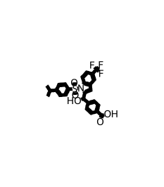 CC(C)c1ccc(S(=O)(=O)n2c(C(O)c3ccc(C(=O)O)cc3)cc3cc(C(F)(F)F)ccc32)cc1